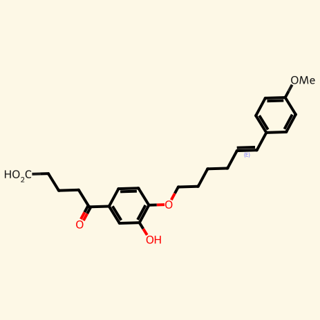 COc1ccc(/C=C/CCCCOc2ccc(C(=O)CCCC(=O)O)cc2O)cc1